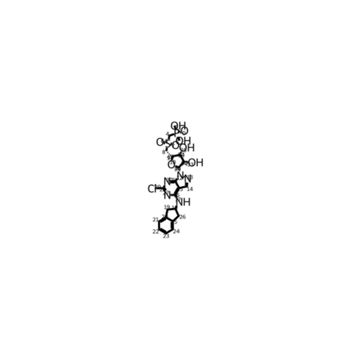 O=P(O)(O)CS(=O)(=O)C[C@H]1O[C@@H](n2ncc3c(NC4Cc5ccccc5C4)nc(Cl)nc32)[C@H](O)[C@@H]1O